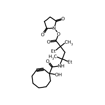 CCC(C)(CC(C)(CC)C(=O)ON1C(=O)CCC1=O)NC(=O)C1(O)C#CCCCCC1